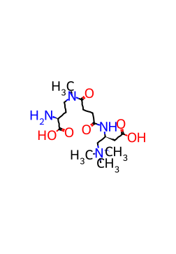 CN(CC[C@H](N)C(=O)O)C(=O)CCC(=O)N[C@@H](CC(=O)O)C[N+](C)(C)C